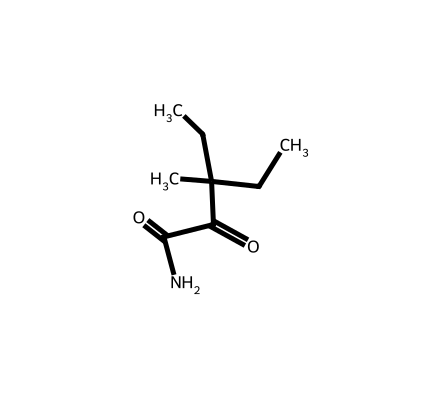 CCC(C)(CC)C(=O)C(N)=O